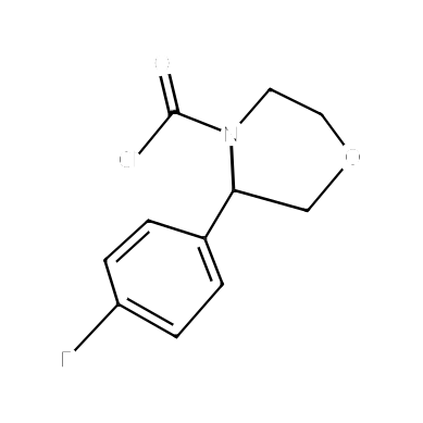 O=C(Cl)N1CCOCC1c1ccc(F)cc1